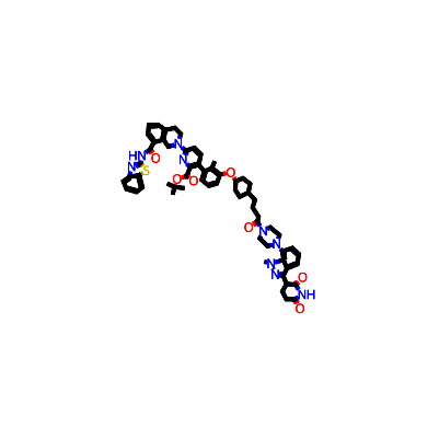 Cc1c(OC2CCC(CCCC(=O)N3CCN(c4cccc5c(C6CCC(=O)NC6=O)nn(C)c45)CC3)CC2)cccc1-c1ccc(N2CCc3cccc(C(=O)Nc4nc5ccccc5s4)c3C2)nc1C(=O)OC(C)(C)C